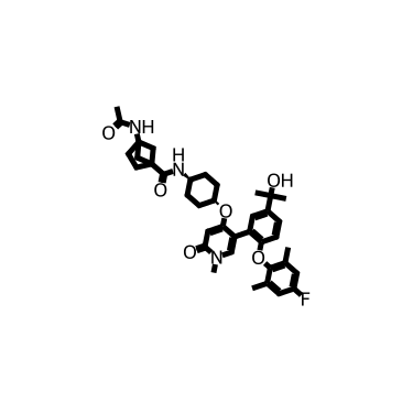 CC(=O)NC12CCC(C(=O)N[C@H]3CC[C@H](Oc4cc(=O)n(C)cc4-c4cc(C(C)(C)O)ccc4Oc4c(C)cc(F)cc4C)CC3)(C1)C2